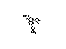 Nc1cc(-n2cc(C(=O)O)c(=O)c3ccc(N4CC[C@H](N)C4)nc32)c(F)cc1F